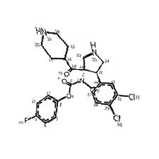 CCN(C(=O)Oc1ccc(F)cc1)[C@]1(C(=O)C2CCNCC2)CNC[C@H]1c1ccc(Cl)c(Cl)c1